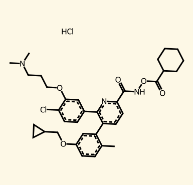 Cc1ccc(OCC2CC2)cc1-c1ccc(C(=O)NOC(=O)C2CCCCC2)nc1-c1ccc(Cl)c(OCCCN(C)C)c1.Cl